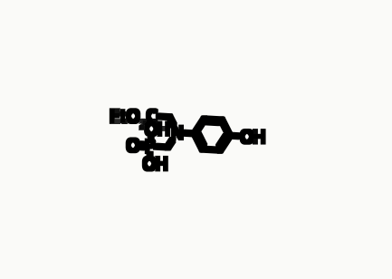 CCOC(=O)CN(CP(=O)(O)O)c1ccc(O)cc1